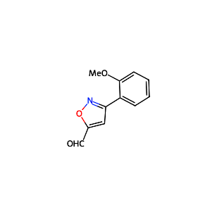 COc1ccccc1-c1cc(C=O)on1